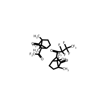 CC12CCC(C(C(=O)C(F)(F)C(F)(F)C(F)(F)F)C1=O)C2(C)C.CC12CCC(C(C(=O)C(F)(F)F)C1=O)C2(C)C